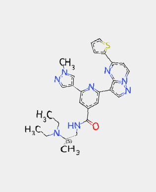 CCN(CC)[C@@H](C)CNC(=O)c1cc(-c2cnn(C)c2)nc(-c2cnn3ccc(-c4cccs4)nc23)c1